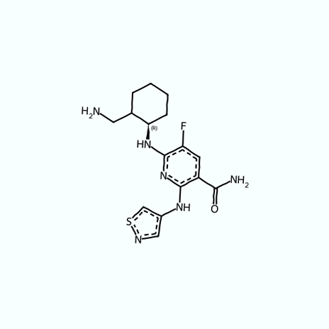 NCC1CCCC[C@H]1Nc1nc(Nc2cnsc2)c(C(N)=O)cc1F